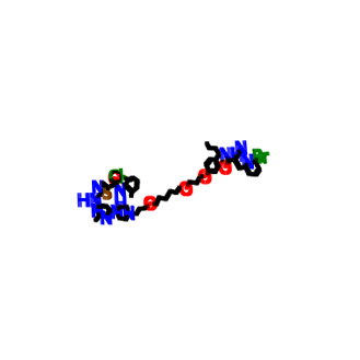 CCCC(NC(=O)/C(C#N)=C/c1cccc(Br)n1)c1ccc(OCCCOCCCCCCOCCCN2CCN(c3cc(Nc4ncc(C(=O)Nc5c(C)cccc5Cl)s4)nc(C)n3)CC2)cc1